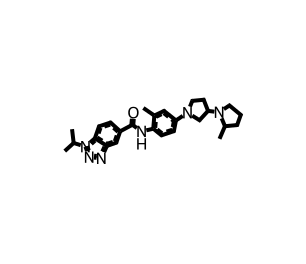 Cc1cc(N2CCC(N3CCCC3C)C2)ccc1NC(=O)c1ccc2c(c1)nnn2C(C)C